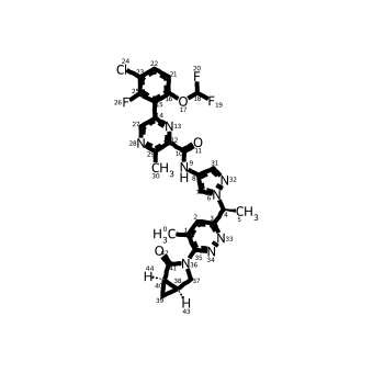 Cc1cc([C@H](C)n2cc(NC(=O)c3nc(-c4c(OC(F)F)ccc(Cl)c4F)cnc3C)cn2)nnc1N1C[C@H]2C[C@H]2C1=O